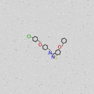 CN(Cc1ccc(OCc2ccc(Cl)cc2)cc1)c1nsc2ccc(OCc3ccccc3)cc12